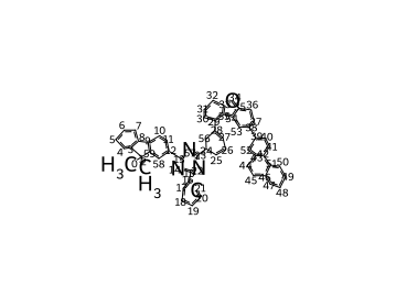 CC1(C)c2ccccc2-c2ccc(-c3nc(-c4ccccc4)nc(C4C=CC=C(c5cccc6oc7ccc(-c8ccc9c(ccc%10ccccc%109)c8)cc7c56)C4)n3)cc21